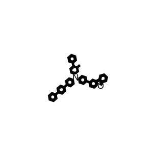 CC1CC(N(c2ccc(-c3ccc(-c4ccccc4)cc3)cc2)c2ccc(-c3ccc4oc5ccccc5c4c3)cc2)=CC=C1c1ccccc1